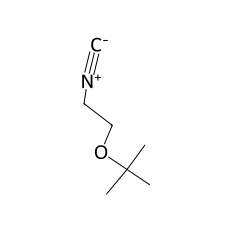 [C-]#[N+]CCOC(C)(C)C